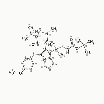 COc1ccc(Cn2c(/C(=C/N(C)C)C(=O)OC(C)C)c(C(C)(C)CNC(=O)OC(C)(C)C)c3cccn32)cc1